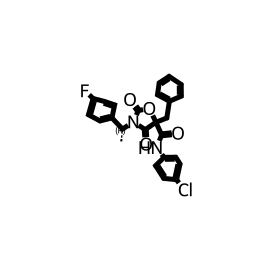 C[C@H](c1ccc(F)cc1)N1C(=O)OC(Cc2ccccc2)(C(=O)Nc2ccc(Cl)cc2)C1=O